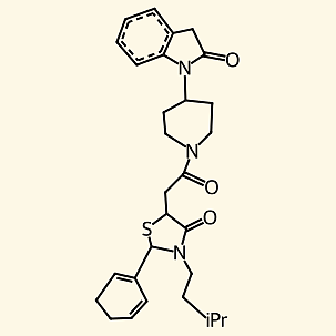 CC(C)CCN1C(=O)C(CC(=O)N2CCC(N3C(=O)Cc4ccccc43)CC2)SC1C1=CCCC=C1